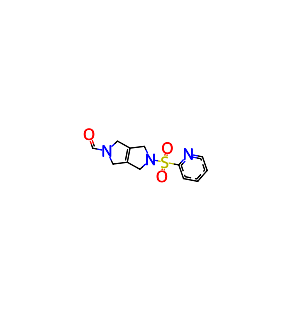 O=CN1CC2=C(C1)CN(S(=O)(=O)c1ccccn1)C2